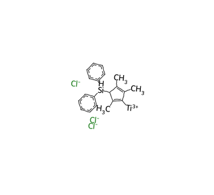 CC1=C(C)C([SiH](c2ccccc2)c2ccccc2)C(C)=[C]1[Ti+3].[Cl-].[Cl-].[Cl-]